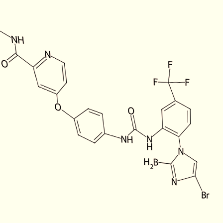 Bc1nc(Br)cn1-c1ccc(C(F)(F)F)cc1NC(=O)Nc1ccc(Oc2ccnc(C(=O)NC)c2)cc1